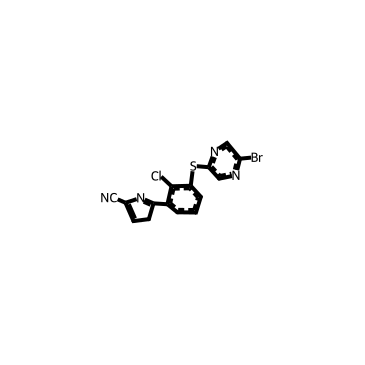 N#CC1=CCC(c2cccc(Sc3cnc(Br)cn3)c2Cl)=N1